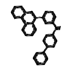 c1ccc(-c2ccc(Nc3cccc(-c4cc5ccccc5c5ccccc45)c3)cc2)cc1